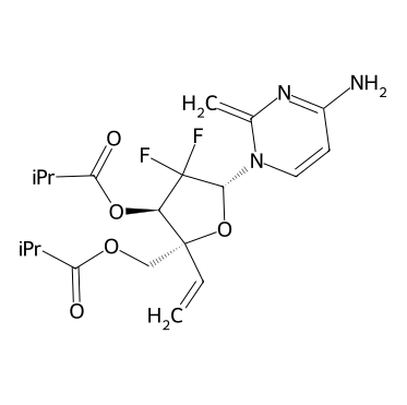 C=C[C@]1(COC(=O)C(C)C)O[C@@H](N2C=CC(N)=NC2=C)C(F)(F)[C@@H]1OC(=O)C(C)C